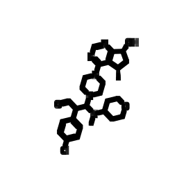 C[C@@H]1C[C@H](O)c2ncnc(N3CCN(C(C(C=O)c4ccc(Cl)cc4)N(C)C4CCOCC4)CC3)c21